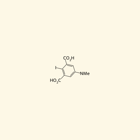 CNc1cc(C(=O)O)c(I)c(C(=O)O)c1